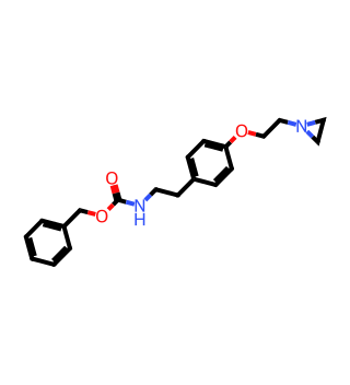 O=C(NCCc1ccc(OCCN2CC2)cc1)OCc1ccccc1